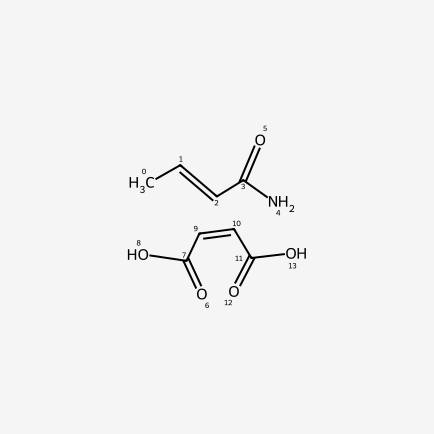 CC=CC(N)=O.O=C(O)/C=C\C(=O)O